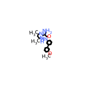 COc1cccc(-c2cccc(NC(=O)C(CN)C3NC(C)CC(C)N3)c2)c1